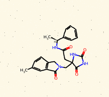 Cc1ccc2c(c1)C(=O)N(CC1(CC(=O)N[C@@H](C)c3ccccc3)NC(=O)NC1=O)C2